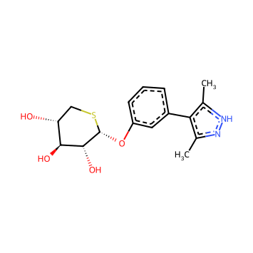 Cc1n[nH]c(C)c1-c1cccc(O[C@H]2SC[C@@H](O)[C@H](O)[C@H]2O)c1